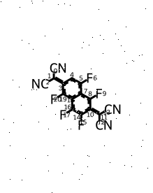 N#CC(C#N)=c1cc(F)c2c(F)c(=C(C#N)C#N)c(F)c(F)c2c1F